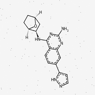 Nc1nc(N[C@@H]2C[C@@H]3CC[C@H]2O3)c2ccc(-c3ccn[nH]3)cc2n1